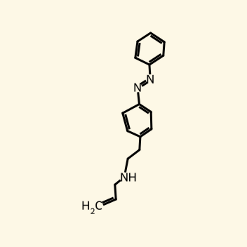 C=CCNCCc1ccc(N=Nc2ccccc2)cc1